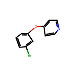 Brc1cccc(Oc2ccncc2)c1